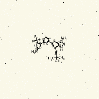 CC(C)(C)C#Cc1cc(-c2ccnc(-c3oc(N)nc3C(F)(F)F)c2)cc2c(N)n[nH]c12